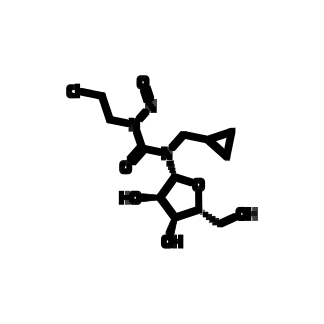 O=NN(CCCl)C(=O)N(CC1CC1)[C@@H]1O[C@H](CO)[C@@H](O)[C@H]1O